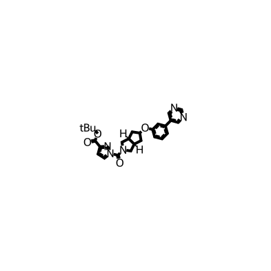 CC(C)(C)OC(=O)c1ccn(C(=O)N2C[C@H]3CC(Oc4cccc(-c5cncnc5)c4)C[C@H]3C2)n1